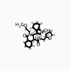 COCCN1C(=O)c2ccccc2C(C(=O)NCC2CCCO2)C1c1cn(C)c2ccccc12